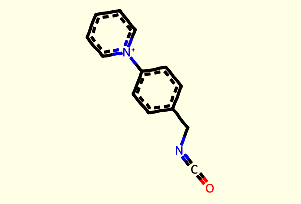 O=C=NCc1ccc(-[n+]2ccccc2)cc1